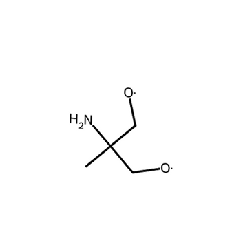 CC(N)(C[O])C[O]